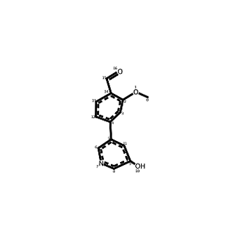 COc1cc(-c2cncc(O)c2)ccc1C=O